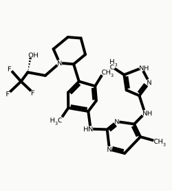 Cc1cc(Nc2nc(Nc3cc(C)c(C4CCCCN4C[C@@H](O)C(F)(F)F)cc3C)ncc2C)n[nH]1